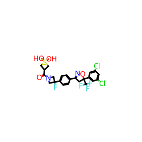 O=C(C1CS(O)(O)C1)N1CC(F)(c2ccc(C3=NOC(c4cc(Cl)cc(Cl)c4)(C(F)(F)F)C3)cc2)C1